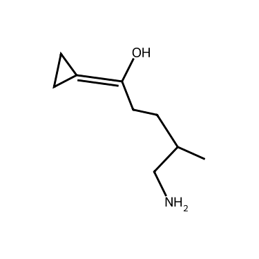 CC(CN)CCC(O)=C1CC1